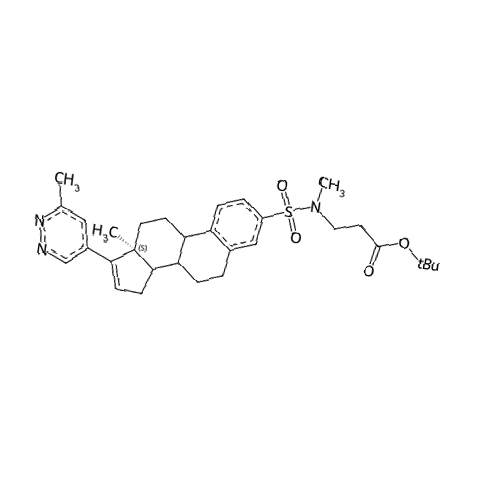 Cc1cc(C2=CCC3C4CCc5cc(S(=O)(=O)N(C)CCC(=O)OC(C)(C)C)ccc5C4CC[C@]23C)cnn1